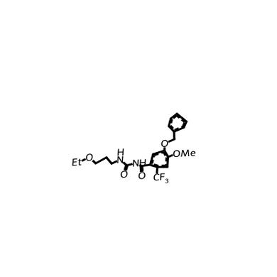 CCOCCCNC(=O)NC(=O)c1cc(OCc2ccccc2)c(OC)cc1C(F)(F)F